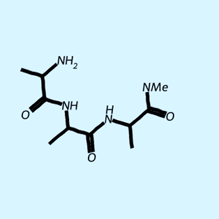 CNC(=O)C(C)NC(=O)C(C)NC(=O)C(C)N